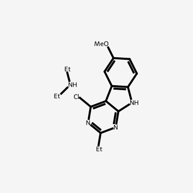 CCNCC.CCc1nc(Cl)c2c(n1)[nH]c1ccc(OC)cc12